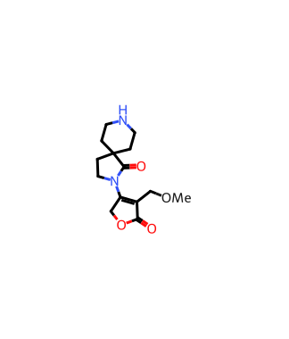 COCC1=C(N2CCC3(CCNCC3)C2=O)COC1=O